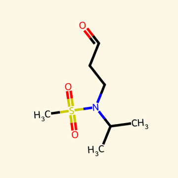 CC(C)N(CCC=O)S(C)(=O)=O